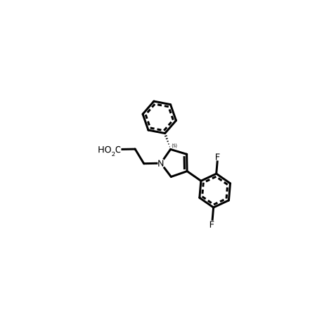 O=C(O)CCN1CC(c2cc(F)ccc2F)=C[C@H]1c1ccccc1